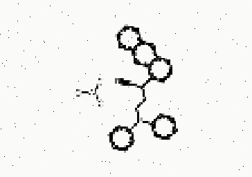 N#CC(CCP(c1ccccc1)c1ccccc1)c1cccc2cc3ccccc3cc12.[Cl][Au]([Cl])[Cl]